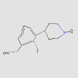 CCN1CCC(c2cccc(CC=O)c2F)CC1